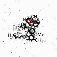 COc1c(C)cc(C)c(C(=O)OCC[Si](C)(C)C)c1/C=C/C[C@@H]1OC(C)(C)O[C@@H]1C(/C=C\[C@@H](C)[C@H](C)O[Si](c1ccccc1)(c1ccccc1)C(C)(C)C)O[Si](C)(C)C(C)(C)C